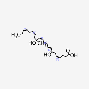 CC/C=C\C/C=C\CC(C)(O)\C=C/C=C/C=C/[C@@H](O)C/C=C\CCC(=O)O